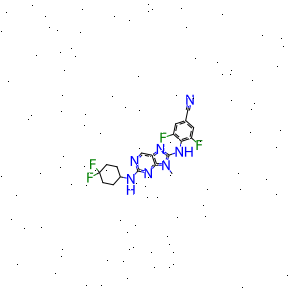 Cn1c(Nc2c(F)cc(C#N)cc2F)nc2cnc(NC3CCC(F)(F)CC3)nc21